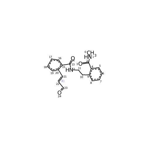 CNC(=O)c1ccccc1CCNC(=O)c1ccccc1/C=C/[C]=O